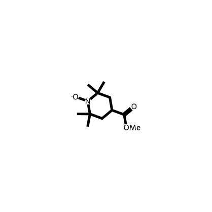 COC(=O)C1CC(C)(C)N([O])C(C)(C)C1